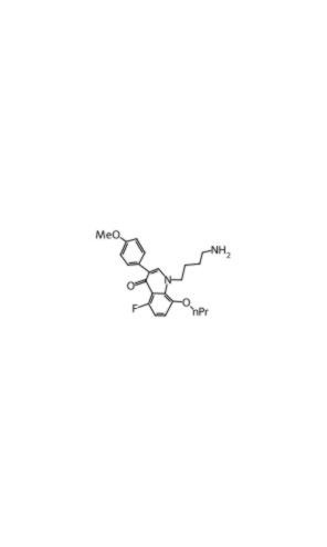 CCCOc1ccc(F)c2c(=O)c(-c3ccc(OC)cc3)cn(CCCCN)c12